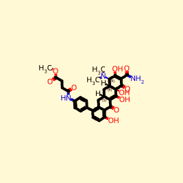 COC(=O)CCC(=O)Nc1ccc(-c2ccc(O)c3c2C[C@@H]2C[C@@H]4[C@@H](N(C)C)C(O)=C(C(N)=O)C(=O)[C@]4(O)C(O)=C2C3=O)cc1